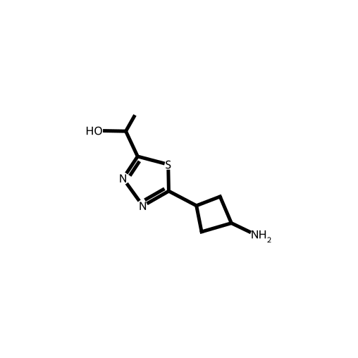 CC(O)c1nnc(C2CC(N)C2)s1